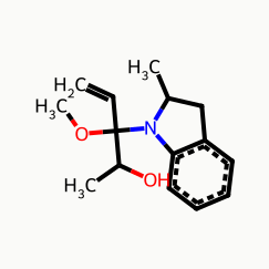 C=CC(OC)(C(C)O)N1c2ccccc2CC1C